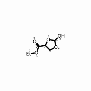 CCOC(=O)C1COC(O)O1